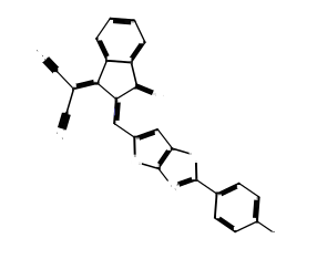 N#CC(C#N)=C1/C(=C/c2cc3oc(-c4ccc(F)cc4)nc3o2)C(=O)c2ccccc21